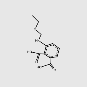 CCOCNc1cccc(C(=O)O)c1C(=O)O